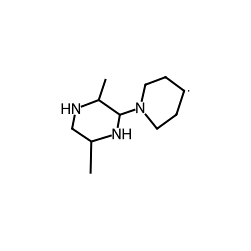 CC1CNC(C)C(N2CC[CH]CC2)N1